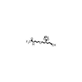 C#CCCN(CCOCCCNC(=O)C(F)(F)F)C(=O)OC(C)(C)C